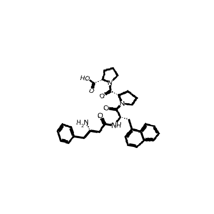 N[C@H](CC(=O)N[C@@H](Cc1cccc2ccccc12)C(=O)N1CCC[C@H]1C(=O)N1CCC[C@H]1C(=O)O)Cc1ccccc1